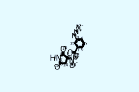 [N-]=[N+]=Nc1cccc(COC2([N+](=O)[O-])CC(=O)NC2=O)c1